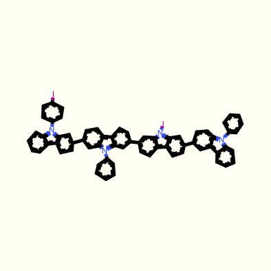 Ic1ccc(-n2c3ccccc3c3ccc(-c4ccc5c6ccc(-c7ccc8c9ccc(-c%10ccc%11c(c%10)c%10ccccc%10n%11-c%10ccccc%10)cc9n(I)c8c7)cc6n(-c6ccccc6)c5c4)cc32)cc1